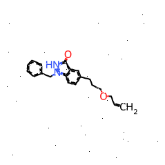 C=CCOCCCc1ccc2c(c1)c(=O)[nH]n2Cc1ccccc1